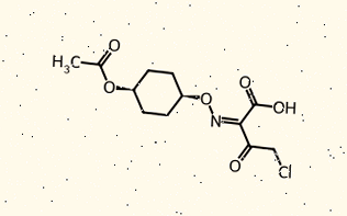 CC(=O)O[C@H]1CC[C@@H](ON=C(C(=O)O)C(=O)CCl)CC1